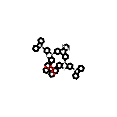 c1ccc2c(c1)c1ccccc1n2-c1ccc2c(c1)Sc1cc(-n3c4ccccc4c4ccccc43)ccc1N2c1ccc2c(c1)c1cc(N3c4ccc(-n5c6ccccc6c6ccccc65)cc4Sc4cc(-n5c6ccccc6c6ccccc65)ccc43)ccc1c1nccnc21